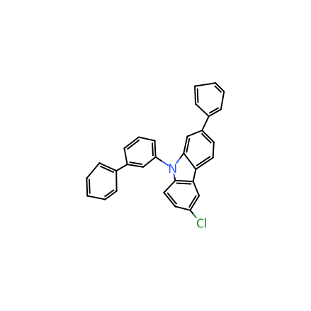 Clc1ccc2c(c1)c1ccc(-c3ccccc3)cc1n2-c1cccc(-c2ccccc2)c1